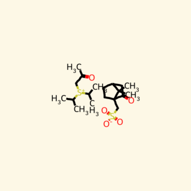 CC(=O)C[S+](C(C)C)C(C)C.CC1(C)C2CCC1(CS(=O)(=O)[O-])C(=O)C2